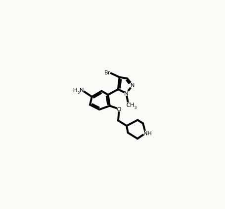 Cn1ncc(Br)c1-c1cc(N)ccc1OCC1CCNCC1